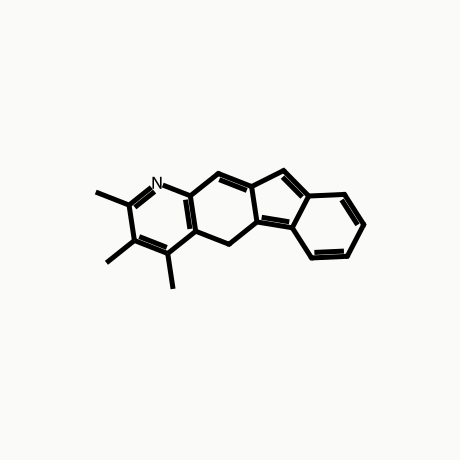 Cc1nc2c(c(C)c1C)CC1=c3ccccc3=CC1=C2